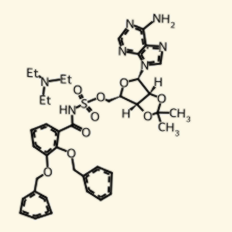 CC1(C)O[C@@H]2[C@H](O1)[C@@H](COS(=O)(=O)NC(=O)c1cccc(OCc3ccccc3)c1OCc1ccccc1)O[C@H]2n1cnc2c(N)ncnc21.CCN(CC)CC